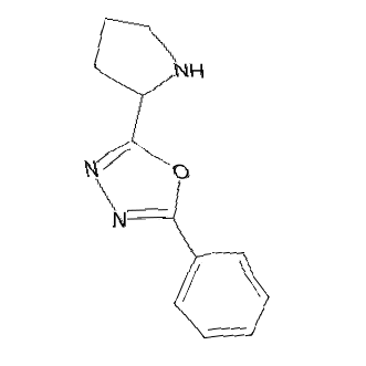 c1ccc(-c2nnc(C3CCCN3)o2)cc1